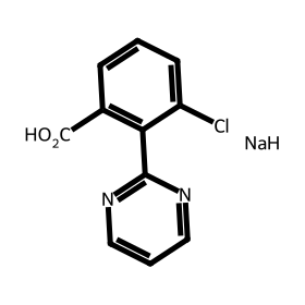 O=C(O)c1cccc(Cl)c1-c1ncccn1.[NaH]